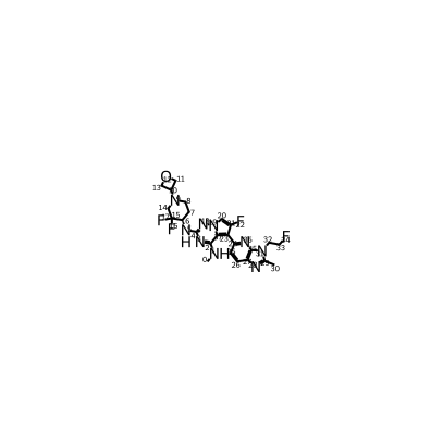 CNc1nc(N[C@@H]2CCN(C3COC3)CC2(F)F)nn2cc(F)c(-c3ccc4nc(C)n(CCF)c4n3)c12